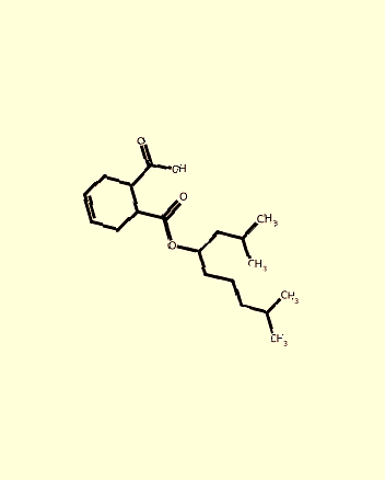 CC(C)CCCC(CC(C)C)OC(=O)C1CC=CCC1C(=O)O